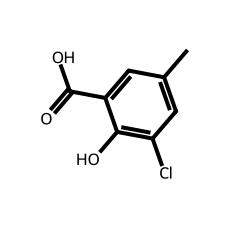 Cc1cc(Cl)c(O)c(C(=O)O)c1